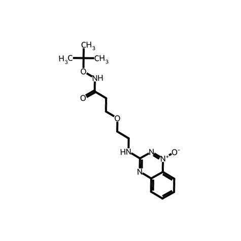 CC(C)(C)ONC(=O)CCOCCNc1nc2ccccc2[n+]([O-])n1